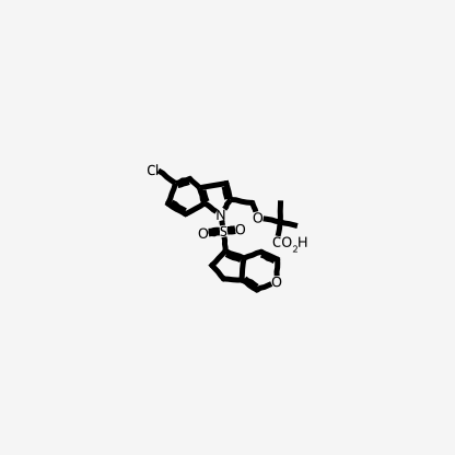 CC(C)(OCc1cc2cc(Cl)ccc2n1S(=O)(=O)C1=C2C=COC=C2CC1)C(=O)O